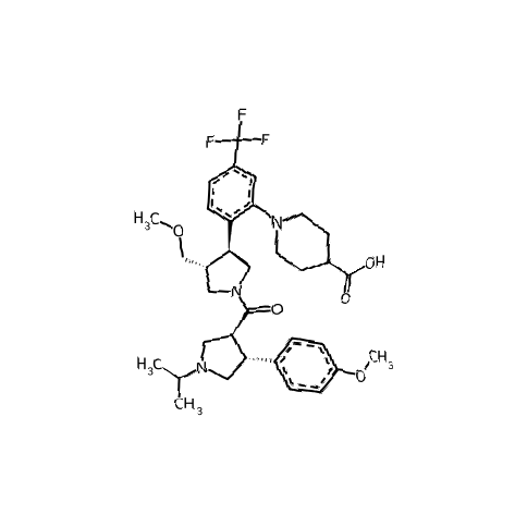 COC[C@H]1CN(C(=O)[C@@H]2CN(C(C)C)C[C@H]2c2ccc(OC)cc2)C[C@@H]1c1ccc(C(F)(F)F)cc1N1CCC(C(=O)O)CC1